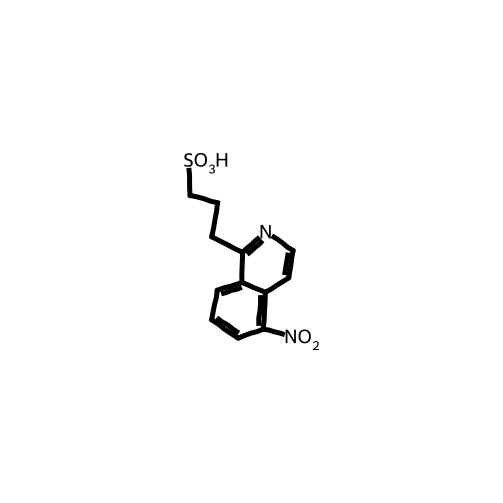 O=[N+]([O-])c1cccc2c(CCCS(=O)(=O)O)nccc12